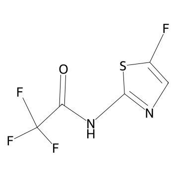 O=C(Nc1ncc(F)s1)C(F)(F)F